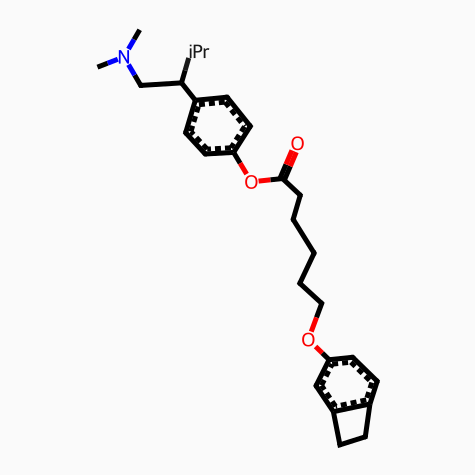 CC(C)C(CN(C)C)c1ccc(OC(=O)CCCCCOc2ccc3c(c2)CC3)cc1